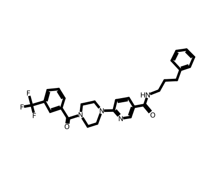 O=C(NCCCc1ccccc1)c1ccc(N2CCN(C(=O)c3cccc(C(F)(F)F)c3)CC2)nc1